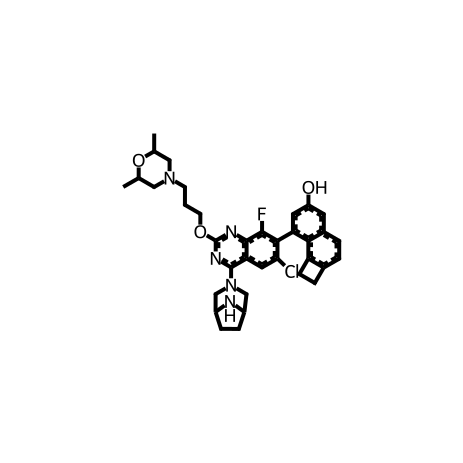 CC1CN(CCCOc2nc(N3CC4CCC(C3)N4)c3cc(Cl)c(-c4cc(O)cc5ccc6c(c45)CC6)c(F)c3n2)CC(C)O1